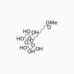 COC(=O)CCCCCCCCO[C@H]1O[C@H](CO)[C@@H](O)[C@H](O)[C@H]1O[C@H]1O[C@H](CO)[C@@H](O)C[C@H]1O